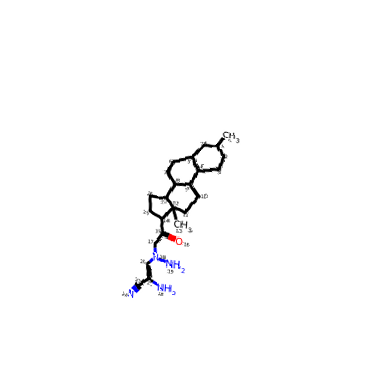 CC1CCC2C(CCC3C2CCC2(C)C(C(=O)CN(N)/C=C(\N)C#N)CCC32)C1